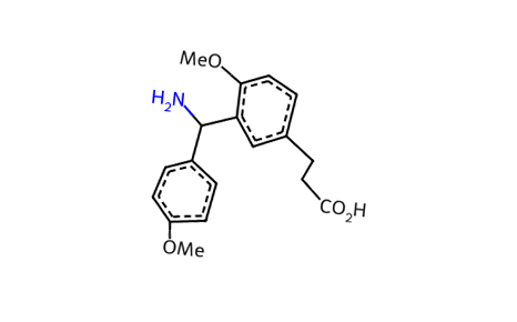 COc1ccc(C(N)c2cc(CCC(=O)O)ccc2OC)cc1